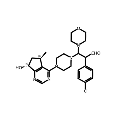 C[C@@H]1C[C@@H](O)c2ncnc(N3CCN(C(C(C=O)c4ccc(Cl)cc4)N4CCOCC4)CC3)c21